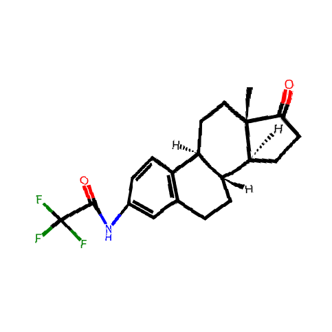 C[C@]12CC[C@@H]3c4ccc(NC(=O)C(F)(F)F)cc4CC[C@H]3[C@@H]1CCC2=O